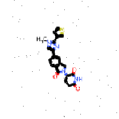 Cn1cc(-c2ccc3c(c2)CN(C2CCC(=O)NC2=O)C3=O)nc1-c1ccsc1